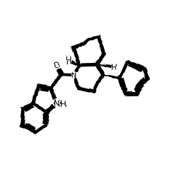 O=C(c1cc2ccccc2[nH]1)N1CC[C@H](c2ccccc2)[C@H]2CCCC[C@H]21